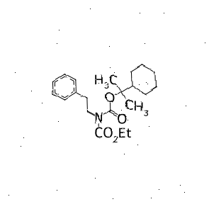 CCOC(=O)N(CCc1ccccc1)C(=O)OC(C)(C)C1CCCCC1